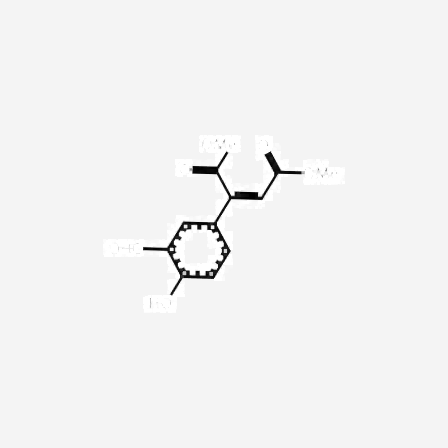 COC(=O)C=C(C(=O)OC)c1ccc(O)c(C=O)c1